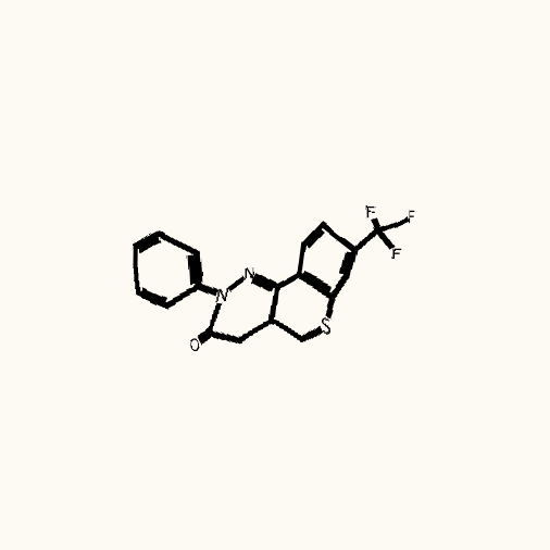 O=C1CC2CSc3cc(C(F)(F)F)ccc3C2=NN1c1ccccc1